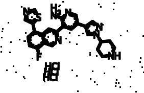 Cl.Cl.Cl.Nc1ncc(-c2cnn(C3CCNCC3)c2)cc1-c1cc2c(-c3cncs3)ccc(F)c2cn1